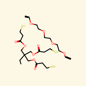 C=COCCOCCOCCOC=C.CCC(COC(=O)CCS)(COC(=O)CCS)COC(=O)CCS